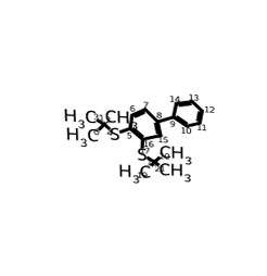 CC(C)(C)Sc1ccc(-c2ccccc2)cc1SC(C)(C)C